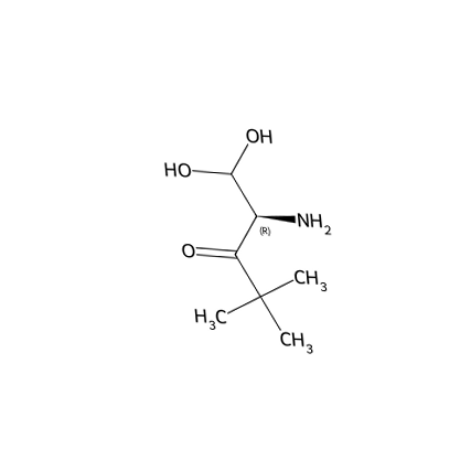 CC(C)(C)C(=O)[C@H](N)C(O)O